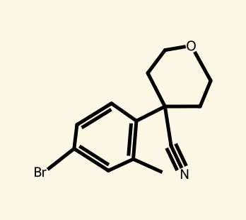 Cc1cc(Br)ccc1C1(C#N)CCOCC1